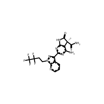 C[C@@]1(C(N)=S)C(=O)Nc2nc(-c3nn(CCC(F)(F)C(F)(F)F)c4ncccc34)nc(N)c21